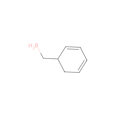 BCC1C=CC=CC1